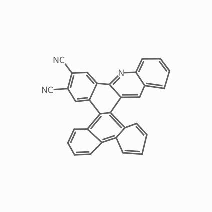 N#Cc1cc2c(cc1C#N)c1c3ccccc3c3ccccc3c1c1cc3ccccc3nc21